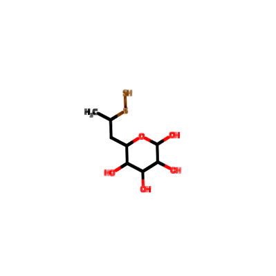 CC(CC1OC(O)C(O)C(O)C1O)SS